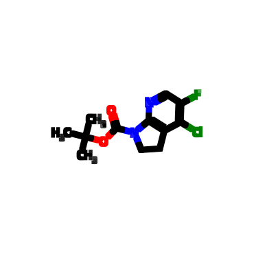 CC(C)(C)OC(=O)N1CCc2c1ncc(F)c2Cl